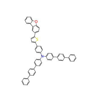 c1ccc(-c2ccc(-c3ccc(N(c4ccc(-c5ccc(-c6ccccc6)cc5)cc4)c4ccc(-c5ccc(-c6ccc7oc8ccccc8c7c6)s5)cc4)cc3)cc2)cc1